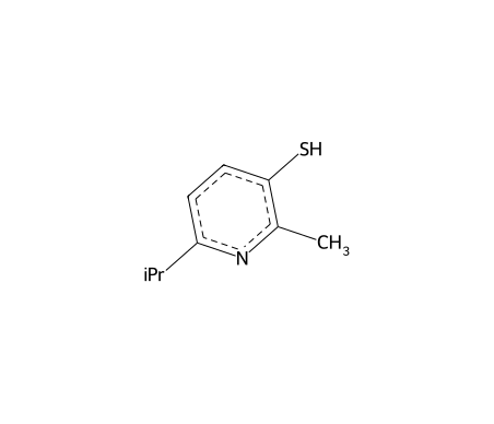 Cc1nc(C(C)C)ccc1S